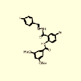 COc1cc(OC)cc(C(=O)Nc2ccc(Br)cc2C(=O)NN=Cc2ccc(F)cc2)c1